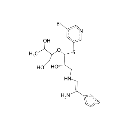 CC(O)C(CO)OC(Sc1cncc(Br)c1)[C@@H](O)CN/C=C(\N)c1ccsc1